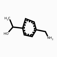 C[C](O)c1ccc(CN)cc1